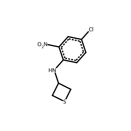 O=[N+]([O-])c1cc(Cl)ccc1NC1CSC1